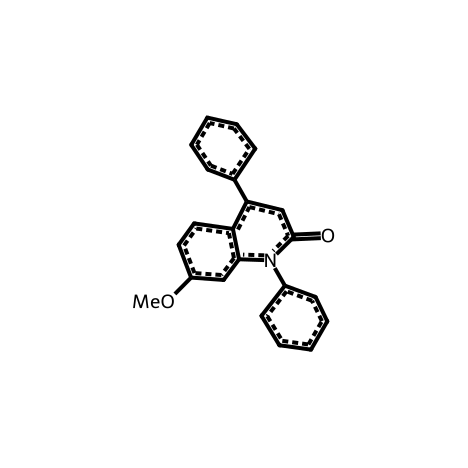 COc1ccc2c(-c3ccccc3)cc(=O)n(-c3ccccc3)c2c1